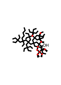 CCCCCC(CC)(CC(CC)(CC)CC)CC(CC(CC)(CC)CC)(CC(CC)(CC)CC)CC(CC(CC(CC)(CC)CC)(CC(CC)(CC)CC)CC(CC)(CC)CC)(CC(CC(CC)(CC)CC)(CC(CC)(CC)CC)CC(CC)(CC)CC)CC(C)(CC)C(=O)O